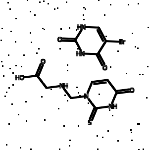 O=C(O)CNCn1ccc(=O)[nH]c1=S.O=c1[nH]cc(Br)c(=O)[nH]1